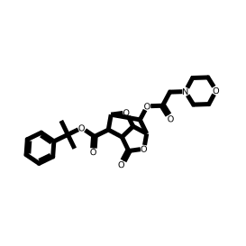 CC(C)(OC(=O)C1C2OC3C(OC(=O)C31)C2OC(=O)CN1CCOCC1)c1ccccc1